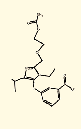 CCn1c(COCCOC(N)=O)nc(C(C)C)c1Sc1cccc([N+](=O)[O-])c1